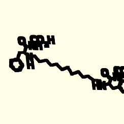 O=C(O)NC(=O)C(Cc1ccccc1)NCCCCCCCCCCCCCNC(Cc1ccccc1)C(=O)NC(=O)O